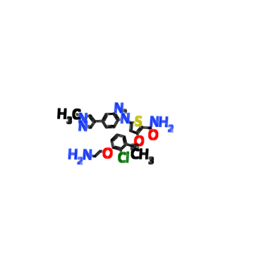 C[C@@H](Oc1cc(-n2cnc3cc(-c4cnn(C)c4)ccc32)sc1C(N)=O)c1cccc(OCCN)c1Cl